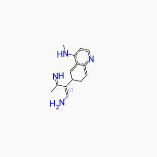 CNc1ccnc2c1=CC(/C(=C/N)C(C)=N)CC=2